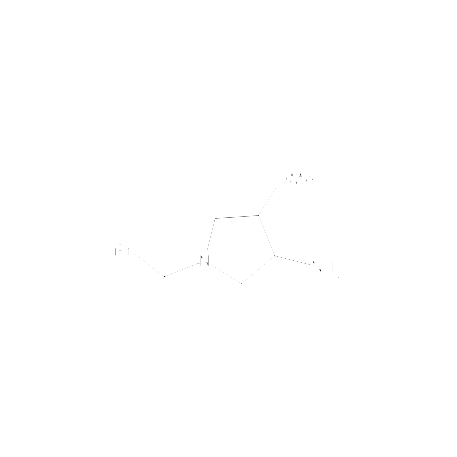 COC1CN(CC(C)C)CC1N